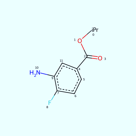 CC(C)OC(=O)c1ccc(F)c(N)c1